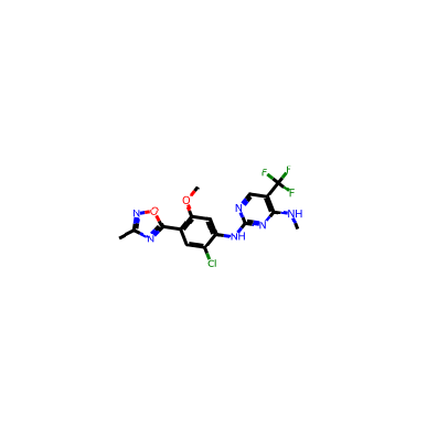 CNc1nc(Nc2cc(OC)c(-c3nc(C)no3)cc2Cl)ncc1C(F)(F)F